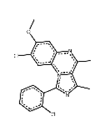 COc1cc2nc(C)c3c(C)nc(-c4ccccc4Cl)n3c2cc1Cl